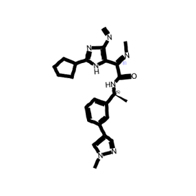 C=Nc1nc(C2CCCC2)[nH]c1/C(=N\C)C(=O)N[C@@H](C)c1cccc(-c2cnn(C)c2)c1